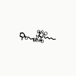 CCCCCCn1c(=O)n(C)c(=O)c2nc(OCCCOc3ccccc3C)[nH]c(=O)c21